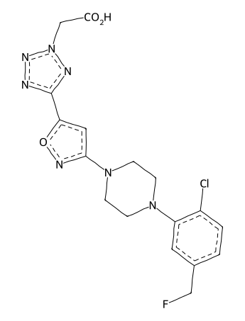 O=C(O)Cn1nnc(-c2cc(N3CCN(c4cc(CF)ccc4Cl)CC3)no2)n1